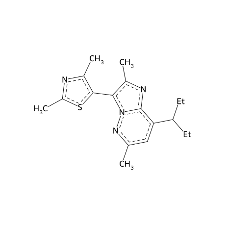 CCC(CC)c1cc(C)nn2c(-c3sc(C)nc3C)c(C)nc12